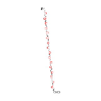 CC(C)CCOCCOCCOCCOCCOCCOCCOCCOCCOCCOCCOCCOCCOCCOCCOCCOCCC=O